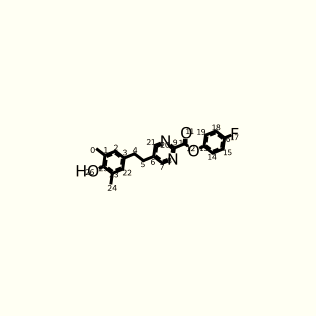 Cc1cc(CCc2cnc(C(=O)Oc3ccc(F)cc3)nc2)cc(C)c1O